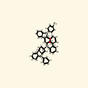 Fc1ccc(-n2c3ccccc3c3cc(N(c4ccc5c6ccccc6n(-c6ccccc6)c5c4)c4ccccc4-c4ccccc4)ccc32)cc1